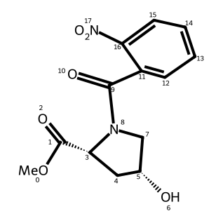 COC(=O)[C@H]1C[C@@H](O)CN1C(=O)c1ccccc1[N+](=O)[O-]